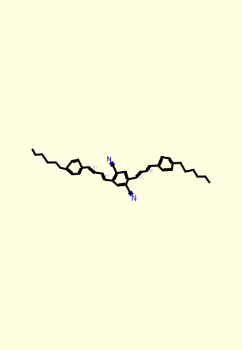 CCCCCCc1ccc(/C=C/C=C/c2cc(C#N)c(/C=C/C=C/c3ccc(CCCCCC)cc3)cc2C#N)cc1